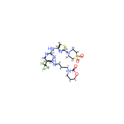 O=C1OCCCN1CCCNc1nc(Nc2csc(N3CCS(=O)(=O)CC3)n2)ncc1C(F)(F)F